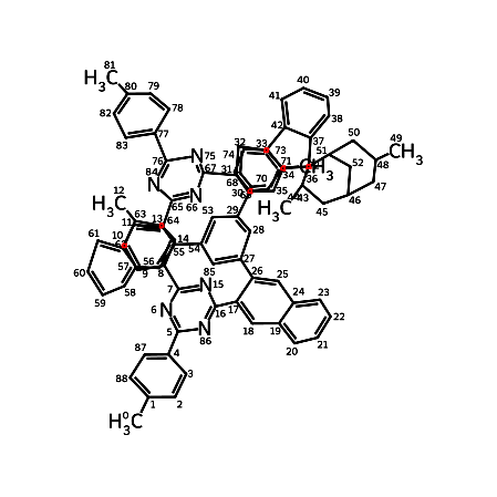 Cc1ccc(-c2nc(-c3ccc(C)cc3)nc(-c3cc4ccccc4cc3-c3cc(-c4ccc5c(c4)C4(c6ccccc6-5)C(C)CC5CC(C)CC4C5)cc(-c4cc5ccccc5cc4-c4nc(-c5ccc(C)cc5)nc(-c5ccc(C)cc5)n4)c3)n2)cc1